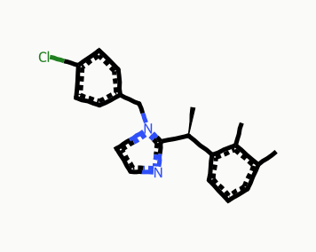 Cc1cccc([C@H](C)c2nccn2Cc2ccc(Cl)cc2)c1C